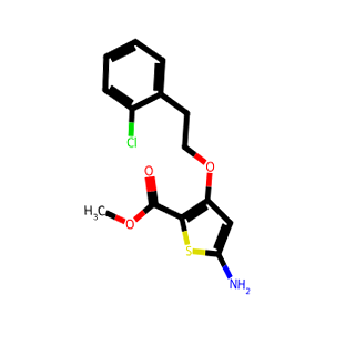 COC(=O)c1sc(N)cc1OCCc1ccccc1Cl